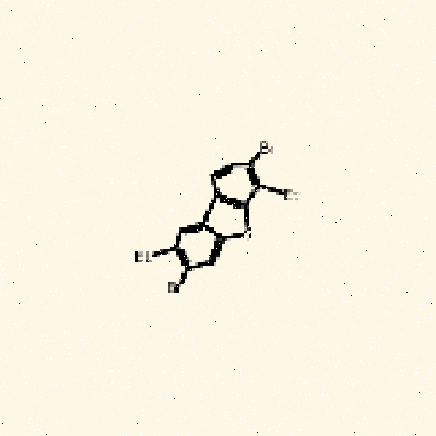 CCc1cc2c(cc1Br)sc1c(CC)c(Br)ccc12